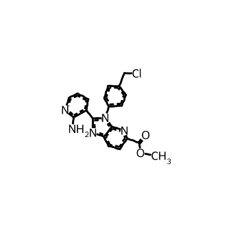 COC(=O)c1ccc2nc(-c3cccnc3N)n(-c3ccc(CCl)cc3)c2n1